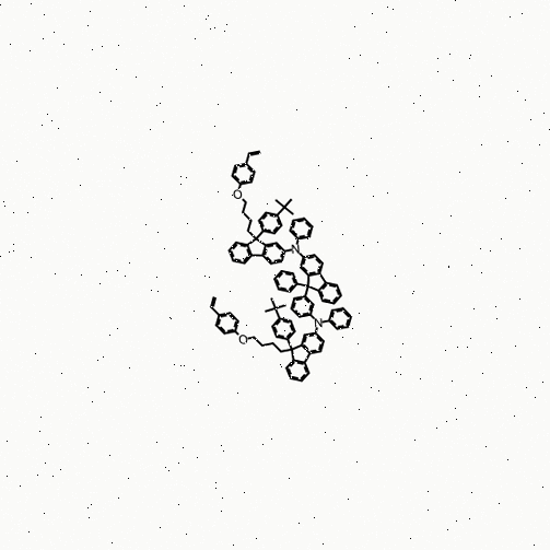 C=Cc1ccc(OCCCCC2(c3ccc(C(C)(C)C)cc3)c3ccccc3-c3ccc(N(c4ccccc4)c4cccc(C5(c6ccccc6)c6ccccc6-c6ccc(N(c7ccccc7)c7ccc8c(c7)C(CCCCOc7ccc(C=C)cc7)(c7ccc(C(C)(C)C)cc7)c7ccccc7-8)cc65)c4)cc32)cc1